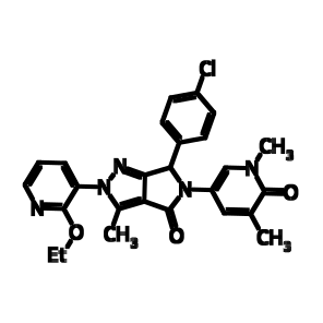 CCOc1ncccc1-n1nc2c(c1C)C(=O)N(c1cc(C)c(=O)n(C)c1)C2c1ccc(Cl)cc1